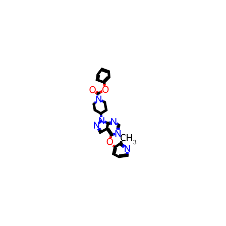 Cc1ncccc1Oc1ncnc2c1cnn2C1CCN(C(=O)Oc2ccccc2)CC1